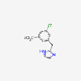 O=C(O)c1cc(Cl)cc(Cc2ncc[nH]2)c1